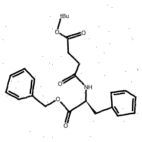 CC(C)(C)OC(=O)CCC(=O)N[C@@H](Cc1ccccc1)C(=O)OCc1ccccc1